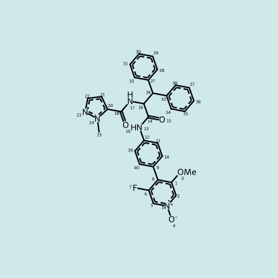 COc1c[n+]([O-])cc(F)c1-c1ccc(NC(=O)C(NC(=O)c2ccnn2C)C(c2ccccc2)c2ccccc2)cc1